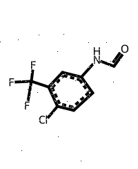 O=CNc1ccc(Cl)c(C(F)(F)F)c1